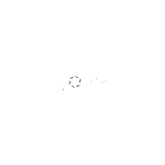 CCC(O)C(O)Oc1ccc([N+](=O)[O-])cc1